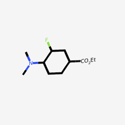 CCOC(=O)C1CCC(N(C)C)C(F)C1